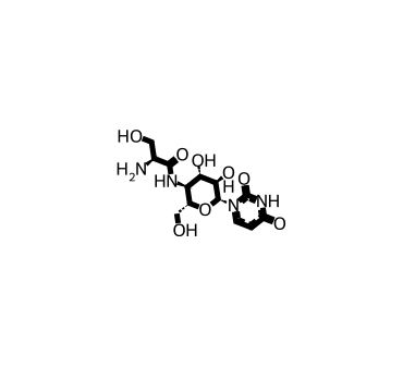 N[C@@H](CO)C(=O)N[C@H]1[C@H](O)[C@@H](O)[C@H](n2ccc(=O)[nH]c2=O)O[C@@H]1CO